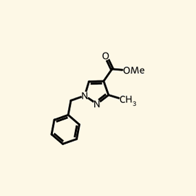 COC(=O)c1cn(Cc2ccccc2)nc1C